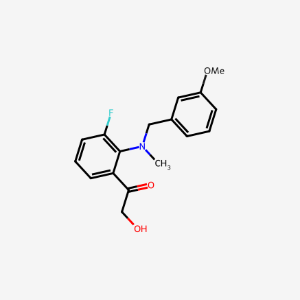 COc1cccc(CN(C)c2c(F)cccc2C(=O)CO)c1